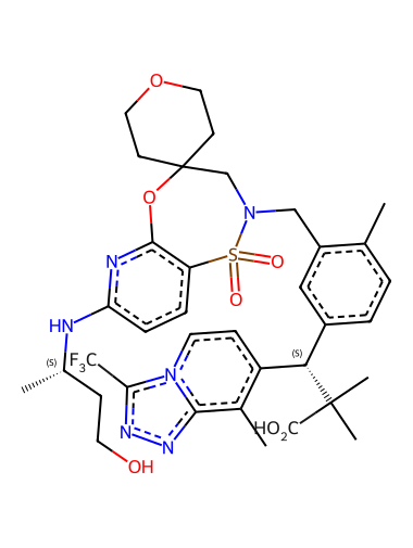 Cc1ccc([C@@H](c2ccn3c(C(F)(F)F)nnc3c2C)C(C)(C)C(=O)O)cc1CN1CC2(CCOCC2)Oc2nc(N[C@@H](C)CCO)ccc2S1(=O)=O